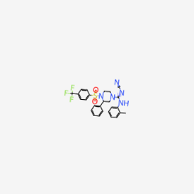 Cc1ccccc1N/C(=N/C#N)N1CCN(S(=O)(=O)c2ccc(C(F)(F)F)cc2)C(c2ccccc2)C1